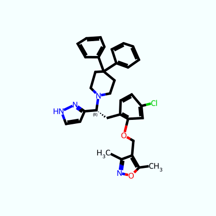 Cc1noc(C)c1COc1cc(Cl)ccc1C[C@H](c1cc[nH]n1)N1CCC(c2ccccc2)(c2ccccc2)CC1